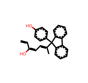 C=C/C(O)=C\C=C(/C)C1(c2ccc(O)cc2)c2ccccc2-c2ccccc21